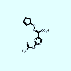 O=C(O)/C(=N\OC1C=CCC1)c1csc(NC(=O)C(F)(F)F)n1